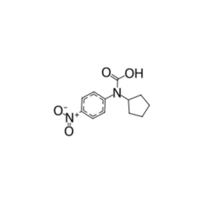 O=C(O)N(c1ccc([N+](=O)[O-])cc1)C1CCCC1